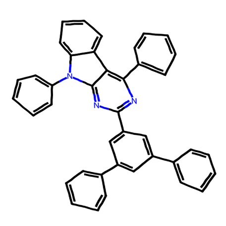 c1ccc(-c2cc(-c3ccccc3)cc(-c3nc(-c4ccccc4)c4c5ccccc5n(-c5ccccc5)c4n3)c2)cc1